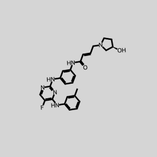 Cc1cccc(Nc2nc(Nc3cccc(NC(=O)/C=C/CN4CC[C@@H](O)C4)c3)ncc2F)c1